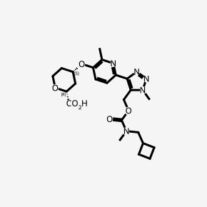 Cc1nc(-c2nnn(C)c2COC(=O)N(C)CC2CCC2)ccc1O[C@H]1CCO[C@@H](C(=O)O)C1